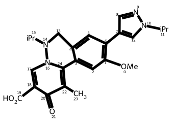 COc1cc2c(cc1-c1cnn(C(C)C)c1)CN(C(C)C)n1cc(C(=O)O)c(=O)c(C)c1-2